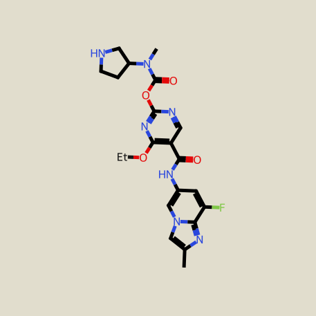 CCOc1nc(OC(=O)N(C)C2CCNC2)ncc1C(=O)Nc1cc(F)c2nc(C)cn2c1